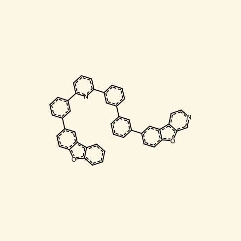 c1cc(-c2cccc(-c3cccc(-c4cccc(-c5ccc6oc7ccccc7c6c5)c4)n3)c2)cc(-c2ccc3oc4cnccc4c3c2)c1